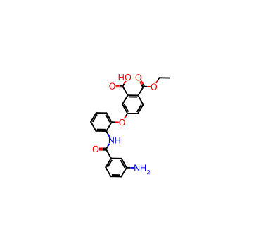 CCOC(=O)c1ccc(Oc2ccccc2NC(=O)c2cccc(N)c2)cc1C(=O)O